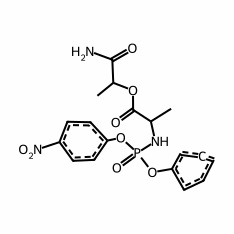 CC(NP(=O)(Oc1ccccc1)Oc1ccc([N+](=O)[O-])cc1)C(=O)OC(C)C(N)=O